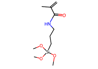 C=C(C)C(=O)NCCC[Si](OC)(OC)OC